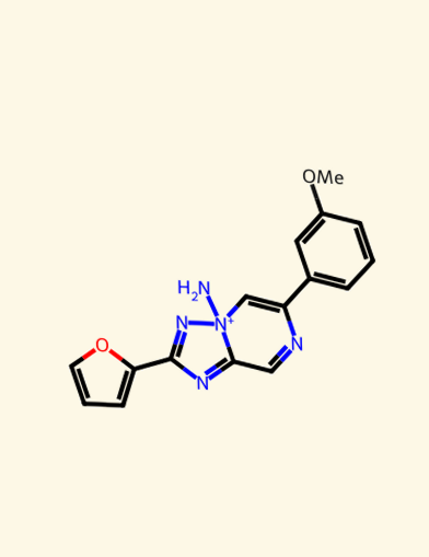 COc1cccc(C2=C[N+]3(N)N=C(c4ccco4)N=C3C=N2)c1